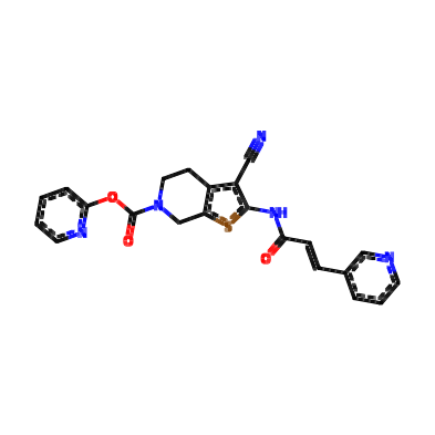 N#Cc1c(NC(=O)C=Cc2cccnc2)sc2c1CCN(C(=O)Oc1ccccn1)C2